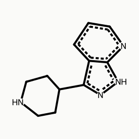 c1cnc2[nH]nc(C3CCNCC3)c2c1